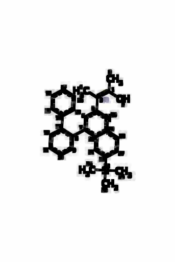 C/C(O)=C(\C)c1cc(-c2ccccc2-c2ccccc2)c2cc([Si](C)(C)C)ccc2n1